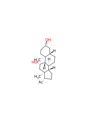 CC(=O)[C@H]1CC[C@H]2[C@@H]3CC[C@H]4C[C@H](O)CC[C@]4(C)[C@H]3[C@@H](O)C[C@]12C